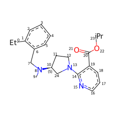 CCc1ccccc1CN(C)[C@H]1CCN(c2ncccc2C(=O)OC(C)C)C1